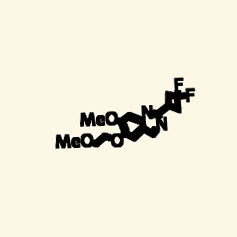 COCCOc1cc2cnc(C3CC(F)(F)C3)nc2cc1OC